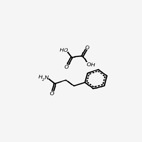 NC(=O)CCc1ccccc1.O=C(O)C(=O)O